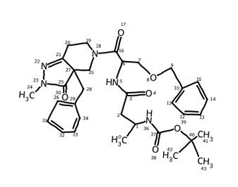 CC(CC(=O)NC(COCc1ccccc1)C(=O)N1CCC2=NN(C)C(=O)C2(Cc2ccccc2)C1)NC(=O)OC(C)(C)C